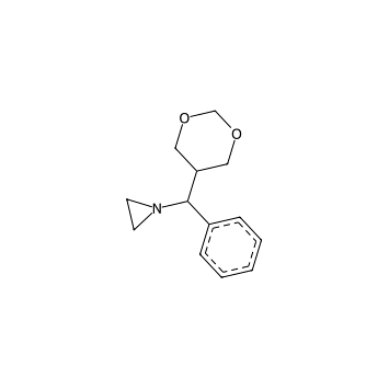 c1ccc(C(C2COCOC2)N2CC2)cc1